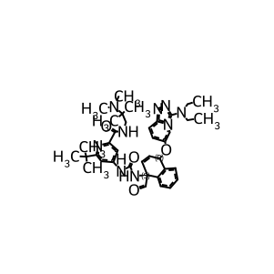 CCN(CC)c1nnc2ccc(O[C@@H]3C=C[C@](C=O)(NC(=O)Nc4cc(C(=O)NCC(C)(C)N(C)C)nc(C(C)(C)C)c4)c4ccccc43)cn12